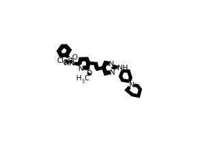 COc1nc(NS(=O)(=O)c2ccccc2Cl)ccc1/C=C/c1cnc(NC2CCC(N3CCCCC3)CC2)nc1